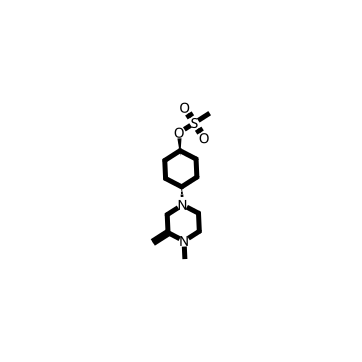 C=C1CN([C@H]2CC[C@H](OS(C)(=O)=O)CC2)CCN1C